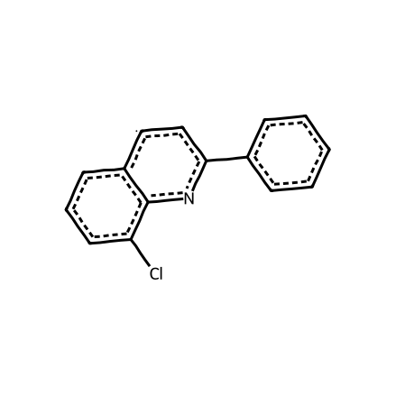 Clc1cccc2[c]cc(-c3ccccc3)nc12